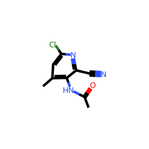 CC(=O)Nc1c(C)cc(Cl)nc1C#N